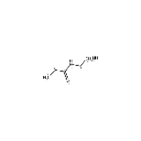 CCNC(=O)CC.[LiH]